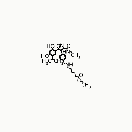 CCNC(=O)c1noc(-c2cc(C(C)C)c(O)cc2O)c1-c1ccc(CNCCCCCC(=O)OCC)cc1